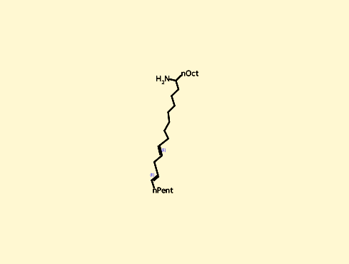 CCCCC/C=C/C/C=C/CCCCCCCC(N)CCCCCCCC